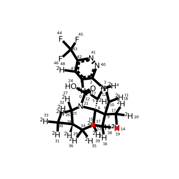 [2H]c1c(N([2H])C([2H])([2H])[C@@]2(C(C([2H])[2H])(C([2H])([2H])[2H])C([2H])([2H])[2H])N(C(=O)O)C([2H])([2H])[C@@]([2H])(C([2H])([2H])[2H])C([2H])([2H])C2([2H])[2H])nnc(C(F)(F)F)c1[2H]